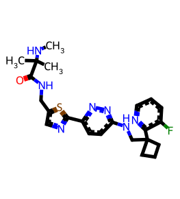 CNC(C)(C)C(=O)NCc1cnc(-c2ccc(NCC3(c4ncccc4F)CCC3)nn2)s1